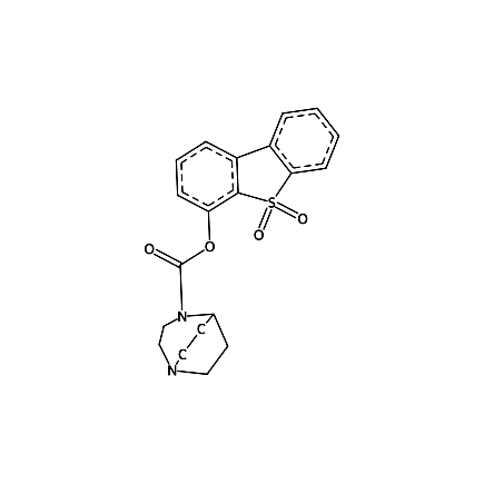 O=C(Oc1cccc2c1S(=O)(=O)c1ccccc1-2)N1CCN2CCC1CC2